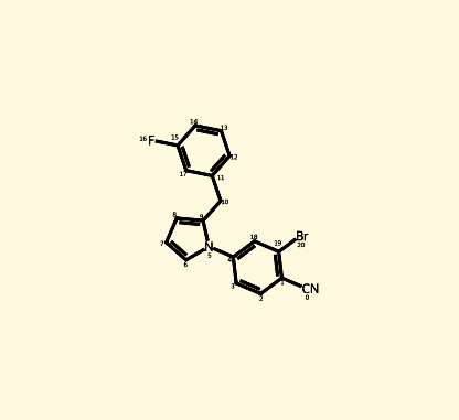 N#Cc1ccc(-n2cccc2Cc2cccc(F)c2)cc1Br